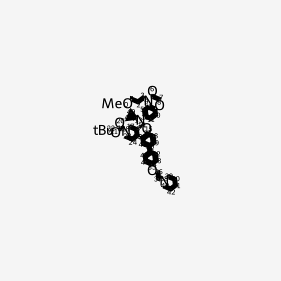 COCCCN1C(=O)COc2ccc(N(C(=O)[C@H]3CN(C(=O)OC(C)(C)C)CC[C@@H]3c3cccc(-c4ccc(OCCN5CCCCC5)cc4)c3)C3CC3)cc21